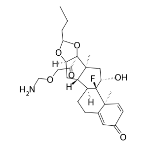 CCCC1O[C@@H]2C[C@H]3[C@@H]4CCC5=CC(=O)C=C[C@]5(C)[C@@]4(F)[C@@H](O)C[C@]3(C)[C@]2(C(=O)COCN)O1